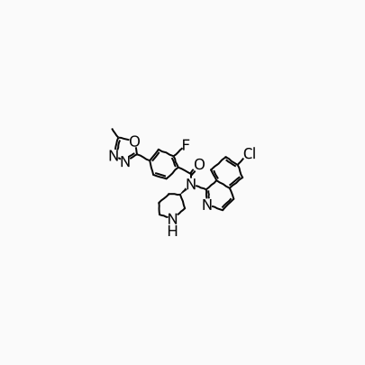 Cc1nnc(-c2ccc(C(=O)N(c3nccc4cc(Cl)ccc34)[C@@H]3CCCNC3)c(F)c2)o1